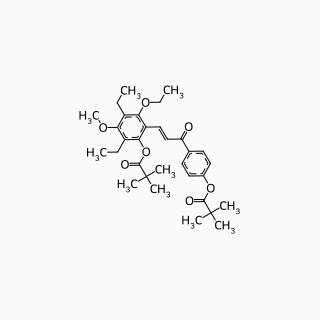 CCOc1c(C=CC(=O)c2ccc(OC(=O)C(C)(C)C)cc2)c(OC(=O)C(C)(C)C)c(CC)c(OC)c1CC